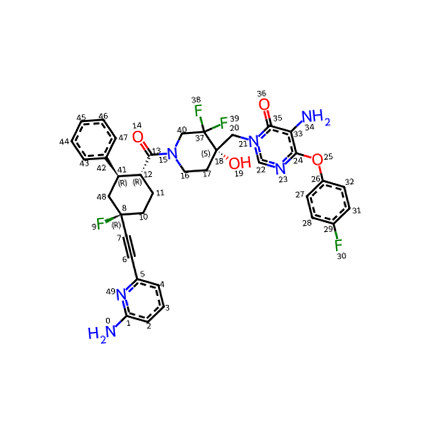 Nc1cccc(C#C[C@@]2(F)CC[C@@H](C(=O)N3CC[C@](O)(Cn4cnc(Oc5ccc(F)cc5)c(N)c4=O)C(F)(F)C3)[C@H](c3ccccc3)C2)n1